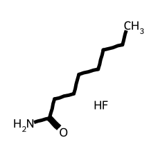 CCCCCCCC(N)=O.F